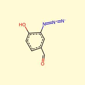 [N-]=[N+]=Nc1cc(C=O)ccc1O